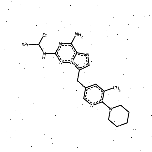 CCCC(CC)Nc1nc(N)c2ncc(Cc3cnc(N4CCCCC4)c(C)c3)n2n1